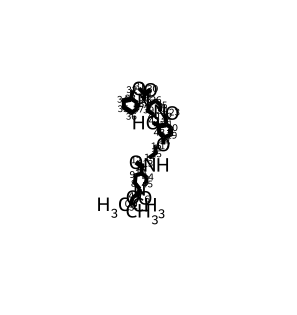 CC(C)(C)OC(=O)N1CCC(C(=O)NCCCOc2ccc(C(=O)N3CCC(N4C(=O)OCc5ccccc54)CC3)c(O)c2)CC1